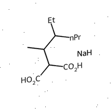 CCCC(CC)C(C)C(C(=O)O)C(=O)O.[NaH]